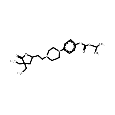 CCC1(CC)CC(CCN2CCN(c3ccc(OC(=O)OC(C)C)cc3)CC2)OC1=O